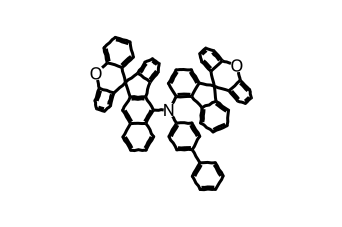 c1ccc(-c2ccc(N(c3cccc4c3-c3ccccc3C43c4ccccc4Oc4ccccc43)c3c4c(cc5ccccc35)C3(c5ccccc5Oc5ccccc53)c3ccccc3-4)cc2)cc1